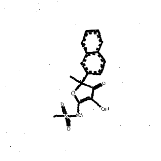 CC1(c2ccc3ccccc3c2)OC(NS(C)(=O)=O)=C(O)C1=O